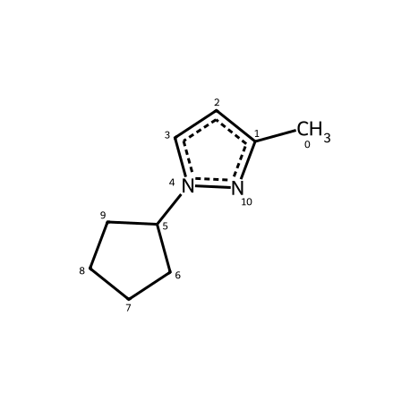 Cc1ccn(C2CCCC2)n1